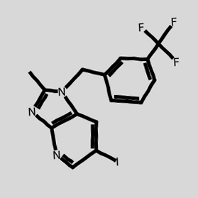 Cc1nc2ncc(I)cc2n1Cc1cccc(C(F)(F)F)c1